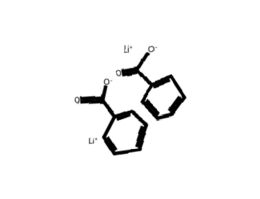 O=C([O-])c1ccccc1.O=C([O-])c1ccccc1.[Li+].[Li+]